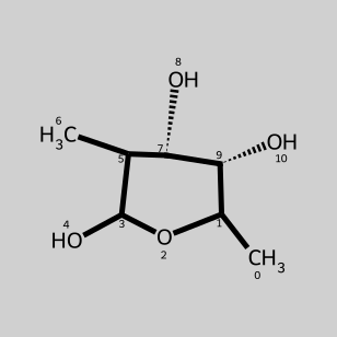 CC1OC(O)C(C)[C@H](O)[C@@H]1O